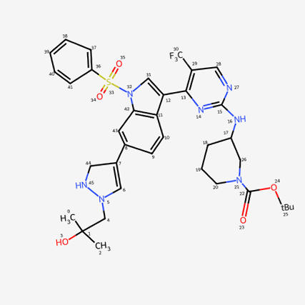 CC(C)(O)CN1C=C(c2ccc3c(-c4nc(NC5CCCN(C(=O)OC(C)(C)C)C5)ncc4C(F)(F)F)cn(S(=O)(=O)c4ccccc4)c3c2)CN1